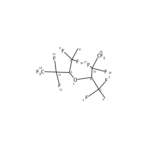 CC(F)(F)C(OC(C(C)(F)F)C(F)(F)C(F)(F)F)C(F)(F)C(F)(F)F